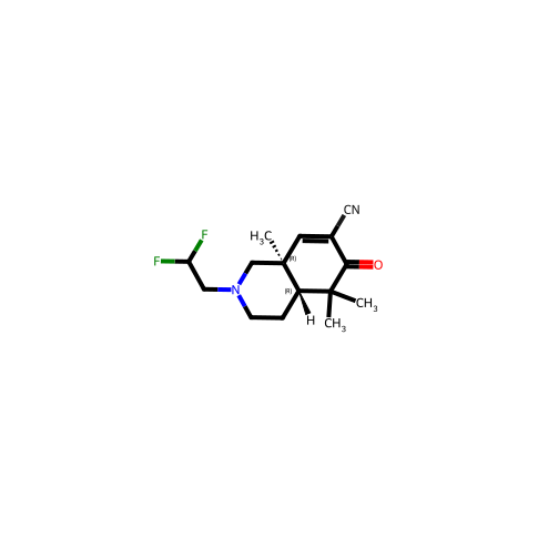 CC1(C)C(=O)C(C#N)=C[C@]2(C)CN(CC(F)F)CC[C@@H]12